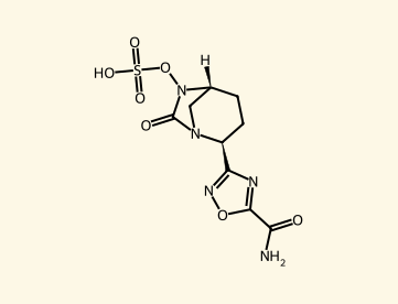 NC(=O)c1nc([C@@H]2CC[C@@H]3CN2C(=O)N3OS(=O)(=O)O)no1